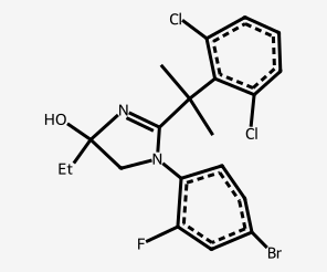 CCC1(O)CN(c2ccc(Br)cc2F)C(C(C)(C)c2c(Cl)cccc2Cl)=N1